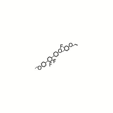 C=CCOc1ccc(COc2ccc(-c3ccc(-c4ccc(OCC)cc4)c(F)c3F)cc2)c(F)c1